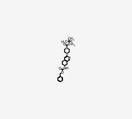 CC(C)(C)OC(=O)N1CCN(c2cc3c(cn2)C[C@@H](NC(=O)OCc2ccccc2)CC3)CC1